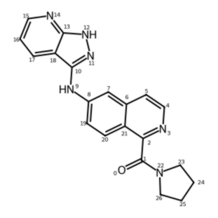 O=C(c1nccc2cc(Nc3n[nH]c4ncccc34)ccc12)N1CCCC1